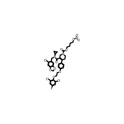 O=C(OCCCCO[N+](=O)[O-])N1CCC(c2ccc(OCCOc3c(Cl)cc(F)cc3Cl)cc2)=C(C(=O)N(Cc2cc3c(cc2Cl)OCO3)C2CC2)C1